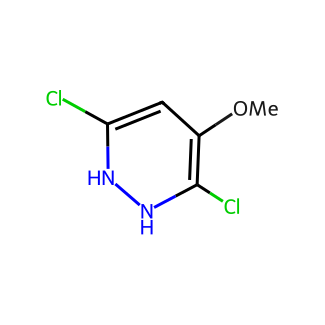 COC1=C(Cl)NNC(Cl)=C1